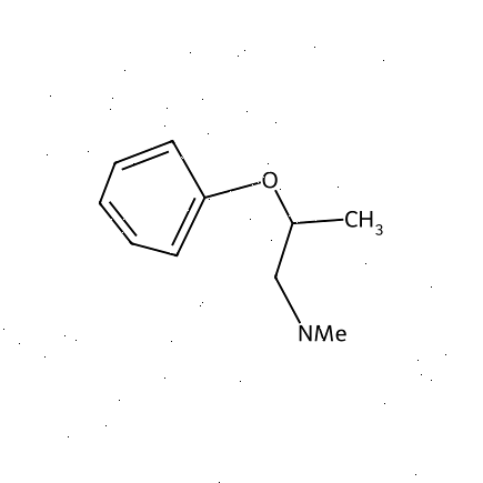 CNCC(C)Oc1ccccc1